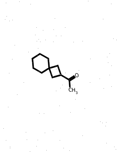 CC(=O)C1CC2(CCCCC2)C1